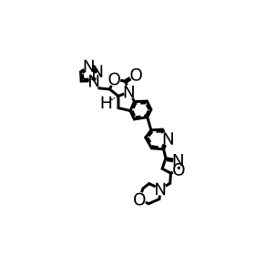 O=C1OC(Cn2ccnn2)[C@@H]2Cc3cc(-c4ccc(C5=NOC(CN6CCOCC6)C5)nc4)ccc3N12